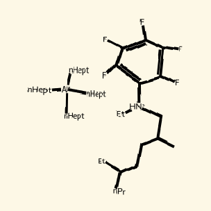 CCCC(CC)CCC(C)C[NH+](CC)c1c(F)c(F)c(F)c(F)c1F.CCCCCC[CH2][Al-]([CH2]CCCCCC)([CH2]CCCCCC)[CH2]CCCCCC